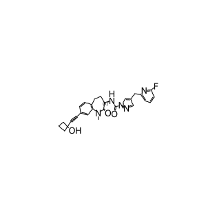 CN1C(=O)[C@H](NC(=O)n2cc(Cc3cccc(F)n3)cn2)CCc2ccc(C#CC3(O)CCC3)cc21